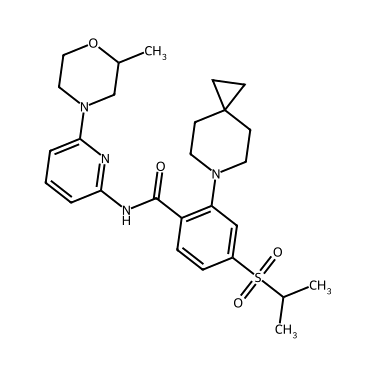 CC1CN(c2cccc(NC(=O)c3ccc(S(=O)(=O)C(C)C)cc3N3CCC4(CC3)CC4)n2)CCO1